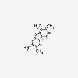 Cc1cc2sc3c(C)c(C)ccc3c2cc1C